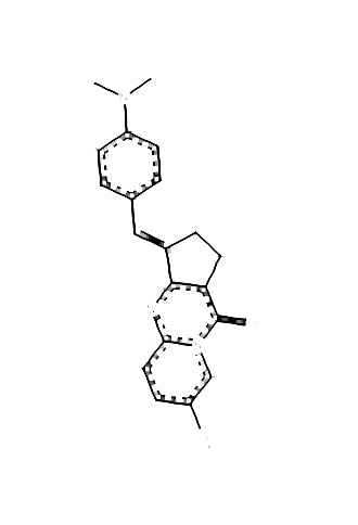 CN(C)c1ccc(C=C2CCc3c2nc2ccc(Br)cn2c3=O)cc1